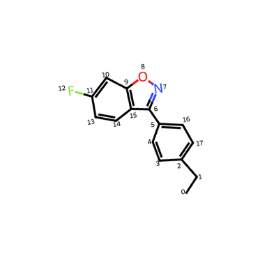 CCc1ccc(-c2noc3cc(F)ccc23)cc1